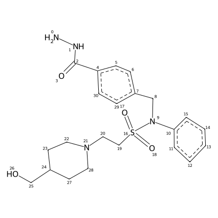 NNC(=O)c1ccc(CN(c2ccccc2)S(=O)(=O)CCN2CCC(CO)CC2)cc1